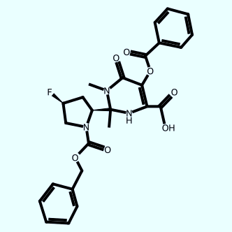 CN1C(=O)C(OC(=O)c2ccccc2)=C(C(=O)O)NC1(C)[C@@H]1C[C@H](F)CN1C(=O)OCc1ccccc1